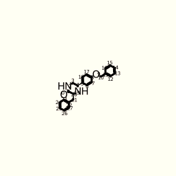 O=C1NC[C@@H](c2ccc(OCc3ccccc3)cc2)N[C@H]1Cc1ccccc1